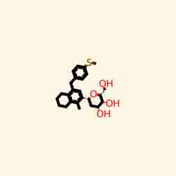 CSc1ccc(Cc2cc([C@H]3C[C@@H](O)[C@@H](O)[C@@H](CO)O3)c(C)c3c2CCCC3)cc1